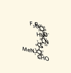 CNCc1cc(-c2ccc(-c3cncc(N[S+]([O-])c4cccc(OC(F)(F)F)c4)c3)s2)ccc1C=O